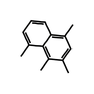 Cc1[c]c(C)c2cccc(C)c2c1C